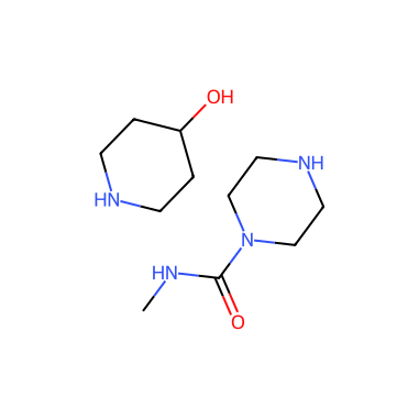 CNC(=O)N1CCNCC1.OC1CCNCC1